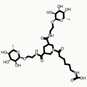 C[C@@H]1O[C@@H](OCCNC(=O)C2CC(C(=O)NCCO[C@@H]3O[C@@H](C)[C@@H](O)[C@@H](O)[C@@H]3O)CN(C(=O)CCCCCNC(=O)O)C2)[C@@H](O)[C@H](O)[C@@H]1O